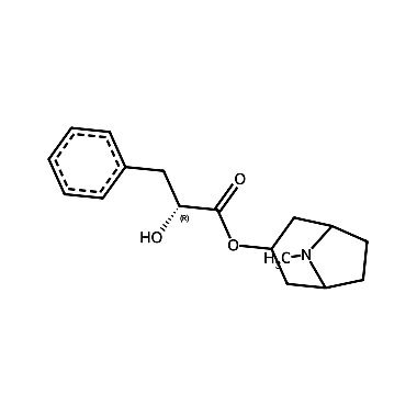 CN1C2CCC1CC(OC(=O)[C@H](O)Cc1ccccc1)C2